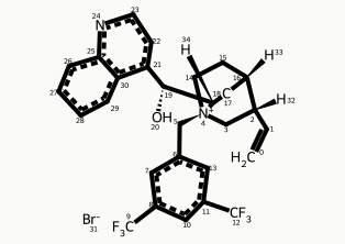 C=C[C@@H]1C[N@+]2(Cc3cc(C(F)(F)F)cc(C(F)(F)F)c3)CC[C@H]1C[C@H]2[C@H](O)c1ccnc2ccccc12.[Br-]